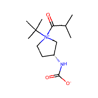 CC(C)C(=O)[N+]1(C(C)(C)C)CC[C@@H](NC(=O)[O-])C1